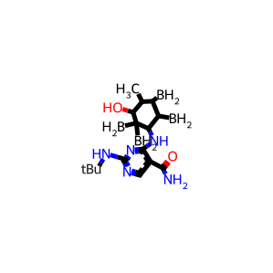 BC1C(B)C(Nc2nc(NC(C)(C)C)ncc2C(N)=O)C(B)(B)C(O)C1C